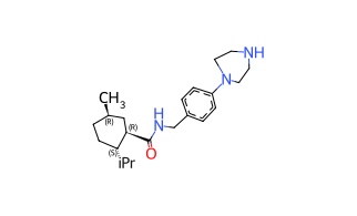 CC(C)[C@@H]1CC[C@@H](C)C[C@H]1C(=O)NCc1ccc(N2CCNCC2)cc1